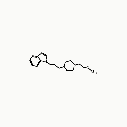 COCCN1CCC(CCCn2[c]cc3ccccc32)CC1